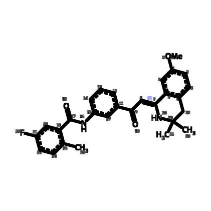 COc1ccc2c(c1)/C(=C/C(=O)c1cccc(NC(=O)c3cc(F)ccc3C)c1)NC(C)(C)C2